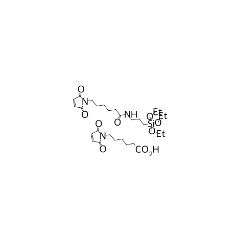 CCO[Si](CCCNC(=O)CCCCCN1C(=O)C=CC1=O)(OCC)OCC.O=C(O)CCCCCN1C(=O)C=CC1=O